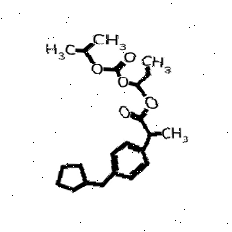 CCC(OC(=O)OC(C)C)OC(=O)C(C)c1ccc(CC2CCCC2)cc1